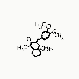 COc1ccc(C=C2C[C@@]3(C)C(=C(C)C2=O)CCC[C@@H]3O)cc1OC